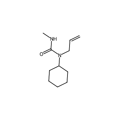 C=CCN(C(=O)NC)C1CCCCC1